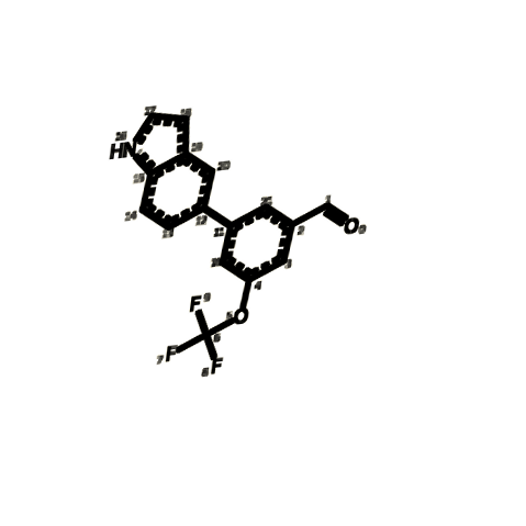 O=Cc1cc(OC(F)(F)F)cc(-c2ccc3[nH]ccc3c2)c1